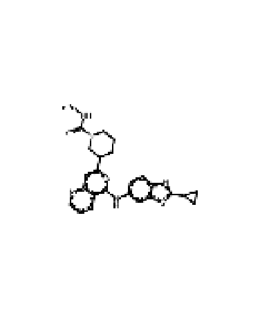 CCCNC(=O)N1CCCC(c2cc3ncccc3c(Nc3ccc4nc(C5CC5)sc4c3)n2)C1